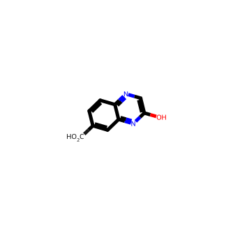 O=C(O)c1ccc2ncc(O)nc2c1